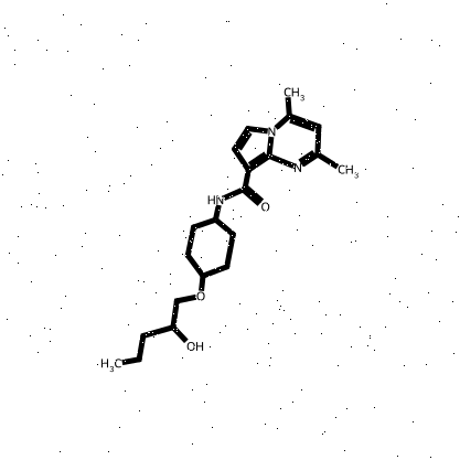 CCCC(O)COC1CCC(NC(=O)c2ccn3c(C)cc(C)nc23)CC1